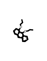 CCCOc1cccc2cc3ccccc3c(OCCC)c12